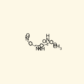 COc1ccc2c(c1)C1(CC1c1ccc3c(/C=C/c4ccc(CN5CCOCC5)cc4)n[nH]c3c1)C(=O)N2